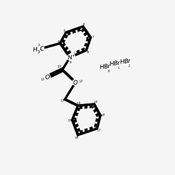 Br.Br.Br.Cc1cccc[n+]1C(=O)OCc1ccccc1